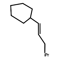 CC(C)CC=C[C]1CCCCC1